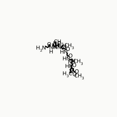 COC(=O)c1cc(NC(=O)c2nc(NC(=O)CCNC(=O)c3cc(NC(=O)c4nc(NC(=O)CCN)cn4C)cn3C)cn2C)cn1C